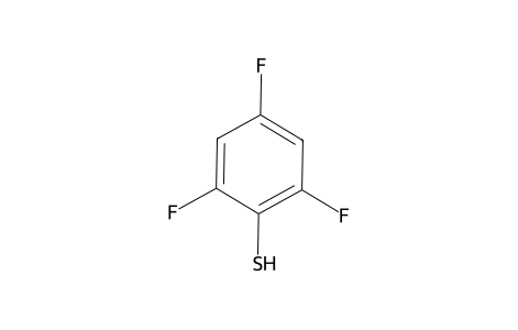 Fc1cc(F)c(S)c(F)c1